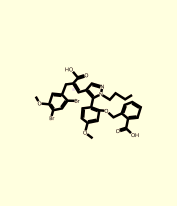 CCCCn1ncc(/C=C(/Cc2cc(OC)c(Br)cc2Br)C(=O)O)c1-c1ccc(OC)cc1OCc1ccccc1C(=O)O